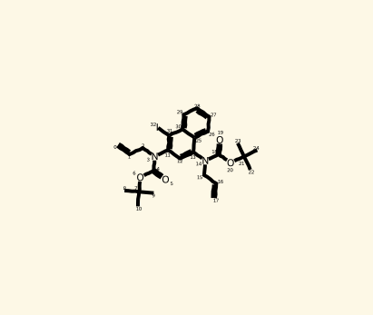 C=CCN(C(=O)OC(C)(C)C)c1cc(N(CC=C)C(=O)OC(C)(C)C)c2ccccc2c1I